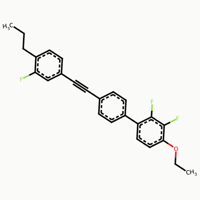 CCCc1ccc(C#Cc2ccc(-c3ccc(OCC)c(F)c3F)cc2)cc1F